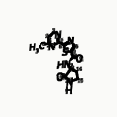 Cc1ccnc(-c2ncc(C(=O)NC3CCNC3=O)s2)n1